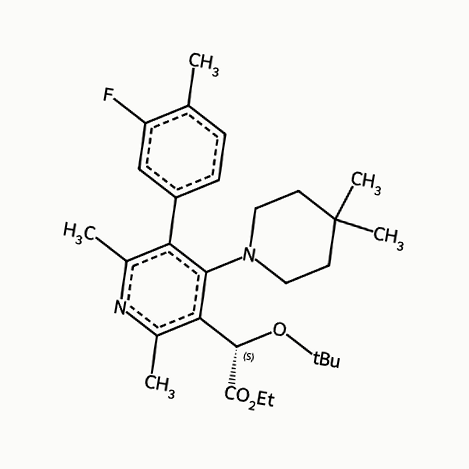 CCOC(=O)[C@@H](OC(C)(C)C)c1c(C)nc(C)c(-c2ccc(C)c(F)c2)c1N1CCC(C)(C)CC1